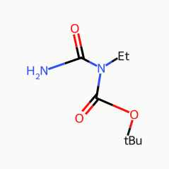 CCN(C(N)=O)C(=O)OC(C)(C)C